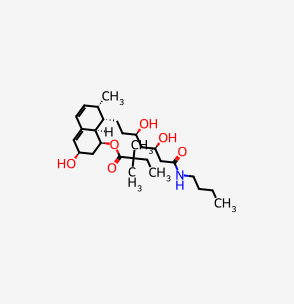 CCCCNC(=O)C[C@H](O)C[C@H](O)CC[C@@H]1[C@@H]2C(=C[C@H](O)C[C@@H]2OC(=O)C(C)(C)CC)C=C[C@@H]1C